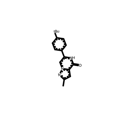 Cc1cc2c(=O)[nH]c(-c3ccc(C(C)(C)C)cc3)cn2n1